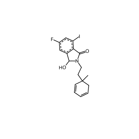 CC1(CCN2C(=O)c3c(I)cc(F)cc3C2O)C=CC=CC1